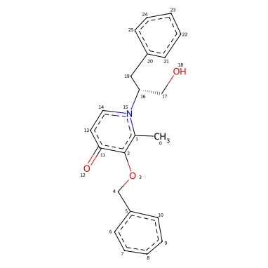 Cc1c(OCc2ccccc2)c(=O)ccn1[C@@H](CO)Cc1ccccc1